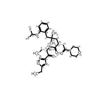 CCc1nc(C(=O)[C@H](CC)NC(=O)[C@@H](CC(=O)N2CCOCC2)CC(C)(C)Cc2ccccc2OC(F)F)no1